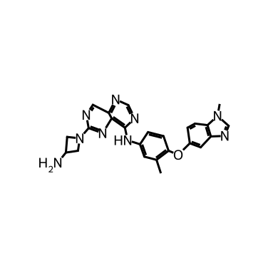 Cc1cc(Nc2ncnc3cnc(N4CC(N)C4)nc23)ccc1Oc1ccc2c(c1)ncn2C